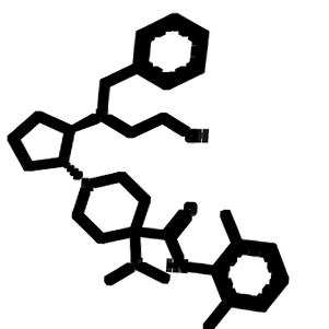 Cc1cccc(C)c1NC(=O)C1(N(C)C)CCN([C@@H]2CCC[C@H]2N(CCO)Cc2ccccc2)CC1